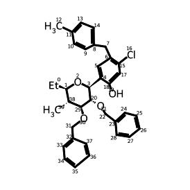 CC[C@H]1O[C@@H](c2cc(Cc3ccc(C)cc3)c(Cl)cc2O)[C@H](OCc2ccccc2)[C@@H](OCc2ccccc2)[C@@H]1C